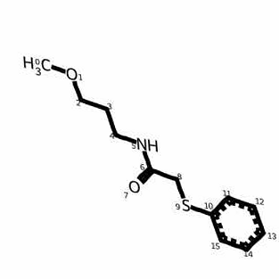 COCCCNC(=O)CSc1ccccc1